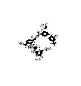 CCOc1cc(Oc2ccc(C(F)(F)F)cc2Cl)ccc1[N+](=O)[O-].COc1cc(OC)nc(NC(=O)NS(=O)(=O)c2nc(C(F)(F)F)ccc2C(=O)O)n1